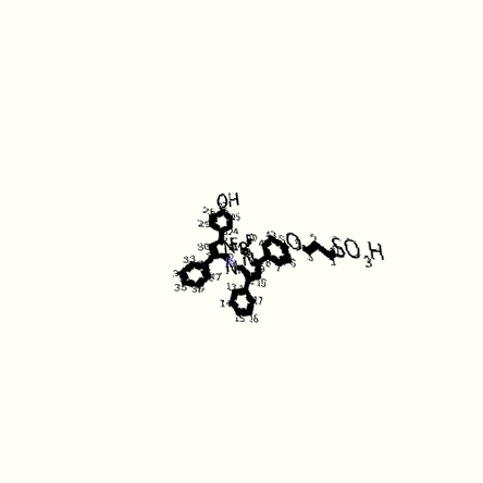 O=S(=O)(O)CCCOc1ccc(-c2cc(-c3ccccc3)c(/N=C3\N=C(c4ccc(O)cc4)C=C3c3ccccc3)n2B(F)F)cc1